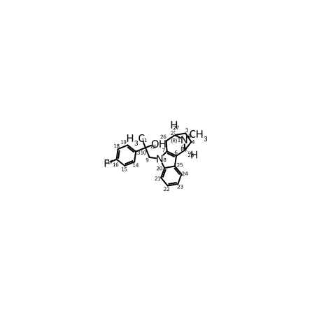 CN1[C@@H]2CC[C@H]1c1c(n(CC(C)(O)c3ccc(F)cc3)c3ccccc13)C2